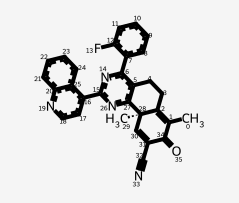 CC1=C2CCc3c(-c4ccccc4F)nc(-c4ccnc5ccccc45)nc3[C@]2(C)C=C(C#N)C1=O